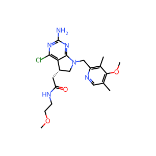 COCCNC(=O)C[C@H]1CN(Cc2ncc(C)c(OC)c2C)c2nc(N)nc(Cl)c21